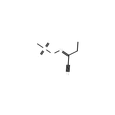 CCC(C#N)=NOS(C)(=O)=O